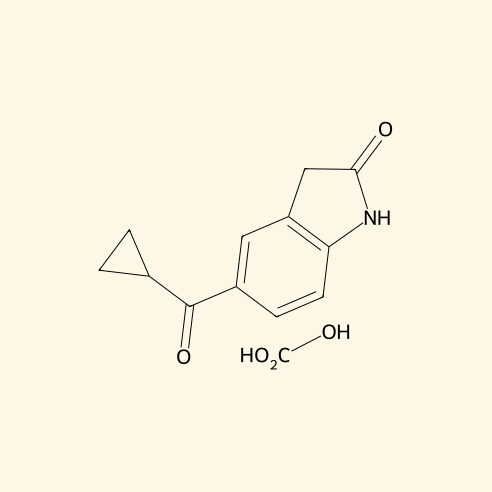 O=C(O)O.O=C1Cc2cc(C(=O)C3CC3)ccc2N1